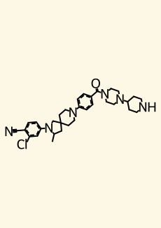 CC1CC2(CCN(c3ccc(C(=O)N4CCN(C5CCNCC5)CC4)cc3)CC2)CN1c1ccc(C#N)c(Cl)c1